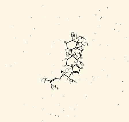 CC(C)=CCC[C@@H](C)C1=CC=C2[C@@H]3CC[C@H]4C(C)(C)[C@@H](O)CC[C@]4(C)[C@H]3CC[C@]12C